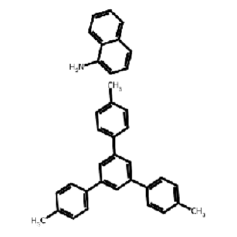 Cc1ccc(-c2cc(-c3ccc(C)cc3)cc(-c3ccc(C)cc3)c2)cc1.Nc1cccc2ccccc12